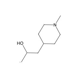 [CH2]C(O)CC1CCN(C)CC1